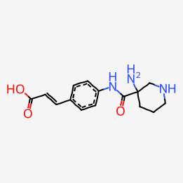 NC1(C(=O)Nc2ccc(C=CC(=O)O)cc2)CCCNC1